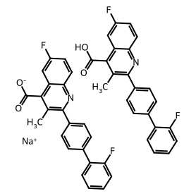 Cc1c(-c2ccc(-c3ccccc3F)cc2)nc2ccc(F)cc2c1C(=O)O.Cc1c(-c2ccc(-c3ccccc3F)cc2)nc2ccc(F)cc2c1C(=O)[O-].[Na+]